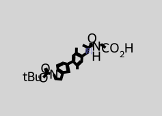 C/C(=C\c1cc(C)c(-c2ccc3c(c2)CCN3C(=O)OC(C)(C)C)cc1C)C(=O)NCC(=O)O